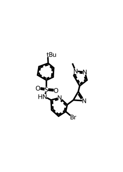 Cn1cc(C2=NC2c2nc(NS(=O)(=O)c3ccc(C(C)(C)C)cc3)ccc2Br)cn1